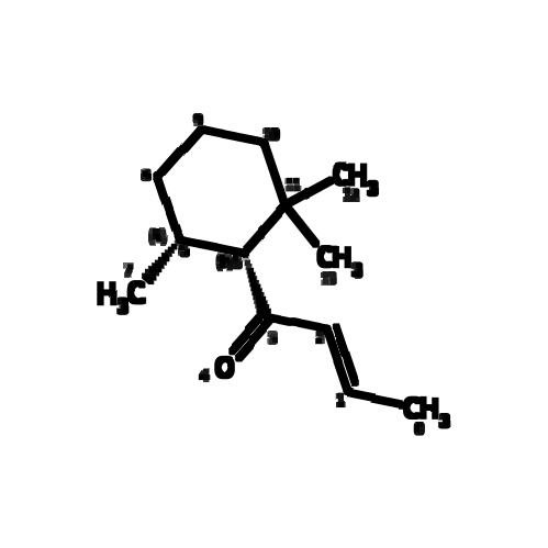 CC=CC(=O)[C@@H]1[C@H](C)CCCC1(C)C